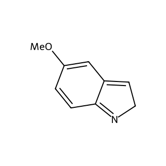 [CH2]Oc1ccc2c(c1)=CCN=2